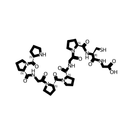 O=C(O)CNC(=O)[C@H](CS)NC(=O)[C@@H]1CCCN1C(=O)CNC(=O)[C@@H]1CCCN1C(=O)[C@@H]1CCCN1C(=O)CNC(=O)[C@@H]1CCCN1C(=O)[C@@H]1CCCN1